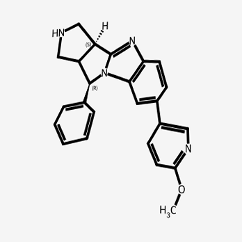 COc1ccc(-c2ccc3nc4n(c3c2)[C@@H](c2ccccc2)C2CNC[C@@H]42)cn1